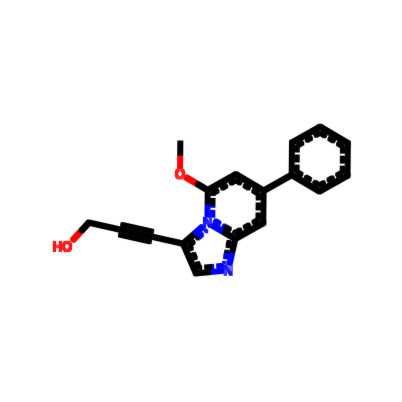 COc1cc(-c2ccccc2)cc2ncc(C#CCO)n12